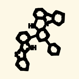 B1c2c(-c3cccc4c3[nH]c3c5ccccc5sc43)cc(-c3ccccc3)cc2-n2c3ccccc3c3cccc1c32